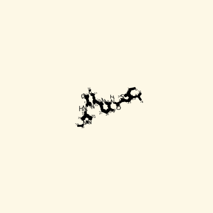 CCc1sc(C(=O)Nc2nc(-c3cn(C)c(=O)c(Nc4cnn(CC)c4)n3)ccc2F)cc1C(C)C